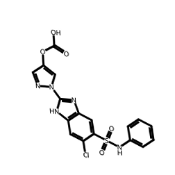 O=C(O)Oc1cnn(-c2nc3cc(S(=O)(=O)Nc4ccccc4)c(Cl)cc3[nH]2)c1